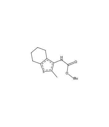 Cc1sc2c(c1NC(=O)OC(C)(C)C)CCCC2